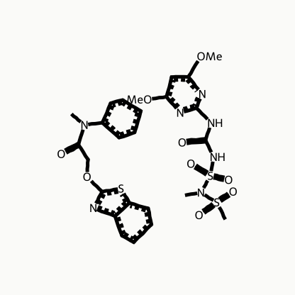 CN(C(=O)COc1nc2ccccc2s1)c1ccccc1.COc1cc(OC)nc(NC(=O)NS(=O)(=O)N(C)S(C)(=O)=O)n1